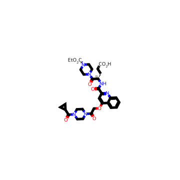 CCOC(=O)N1CCN(C(=O)[C@H](CCC(=O)O)NC(=O)c2cc(OCC(=O)N3CCN(C(=O)C4CC4)CC3)c3ccccc3n2)CC1